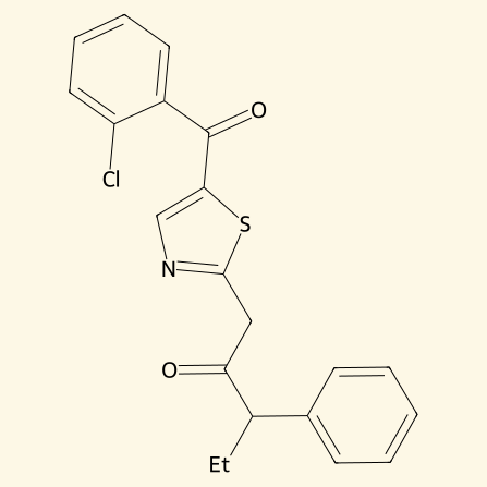 CCC(C(=O)Cc1ncc(C(=O)c2ccccc2Cl)s1)c1ccccc1